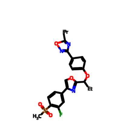 CCC(Oc1ccc(-c2noc(C(C)C)n2)cc1)c1nc(-c2ccc(S(C)(=O)=O)c(F)c2)co1